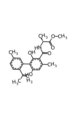 C=C(C)c1ccc(C)cc1-c1c(O)cc(C)c(C(=O)N[C@@H](C)C(=O)OC)c1O